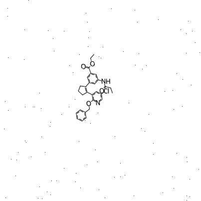 CCOC(=O)c1cc(NC(=O)CC)cc(C2=C(c3cc(Cl)cnc3OCc3ccccc3)CCC2)c1